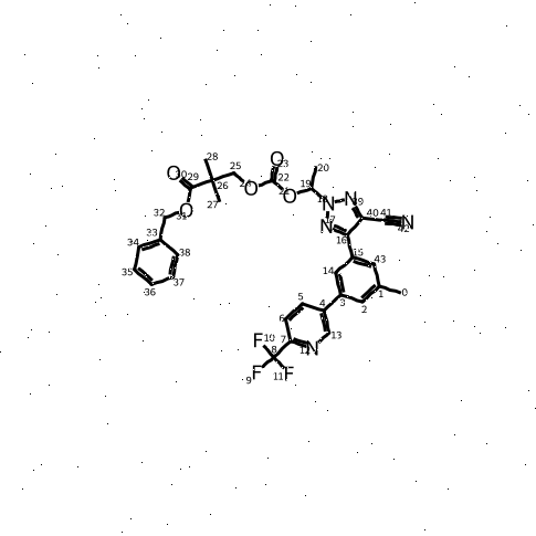 Cc1cc(-c2ccc(C(F)(F)F)nc2)cc(-c2nn(C(C)OC(=O)OCC(C)(C)C(=O)OCc3ccccc3)nc2C#N)c1